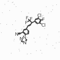 N#Cc1cc(/C=C/C(c2cc(Cl)c(F)c(Cl)c2)C(F)(F)F)ccc1-n1cncn1